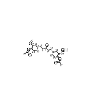 COc1cc(/C=C/C(=O)/C=C/c2ccc(OC(C)=O)c(CO)c2)ccc1OC(C)=O